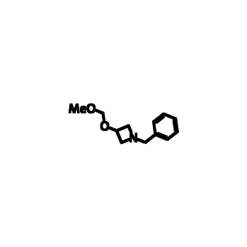 COCOC1CN(Cc2ccccc2)C1